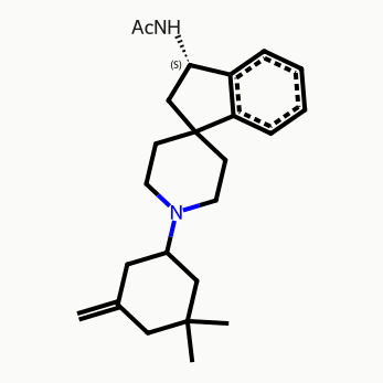 C=C1CC(N2CCC3(CC2)C[C@H](NC(C)=O)c2ccccc23)CC(C)(C)C1